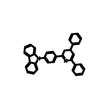 C1=C(c2ccccc2)N=C(c2ccc(-n3c4ccccc4c4ccccc43)cc2)CC1c1ccccc1